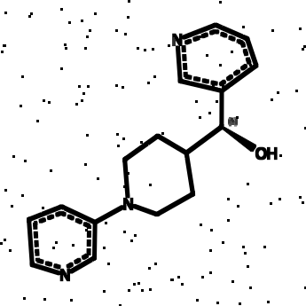 O[C@H](c1cccnc1)C1CCN(c2cccnc2)CC1